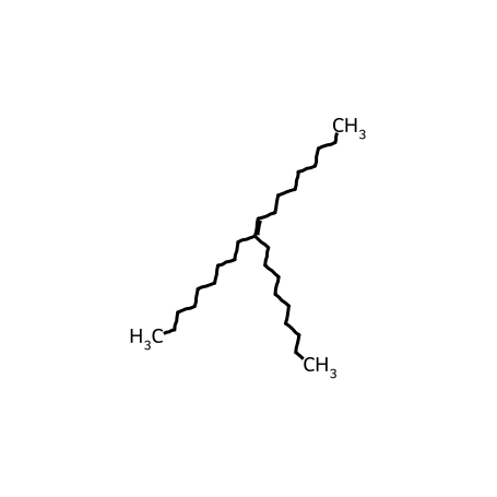 CCCCCCCCC=C(CCCCCCCCC)CCCCCCCCC